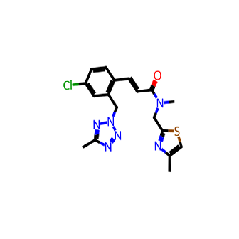 Cc1csc(CN(C)C(=O)/C=C/c2ccc(Cl)cc2Cn2nnc(C)n2)n1